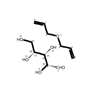 C=CCOCC=C.O=C[C@H](O)[C@@H](O)[C@H](O)CO